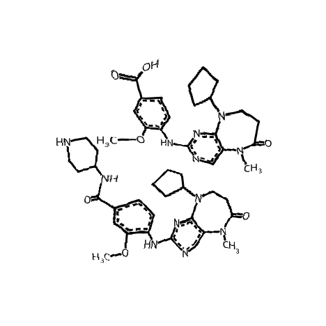 COc1cc(C(=O)NC2CCNCC2)ccc1Nc1ncc2c(n1)N(C1CCCC1)CCC(=O)N2C.COc1cc(C(=O)O)ccc1Nc1ncc2c(n1)N(C1CCCC1)CCC(=O)N2C